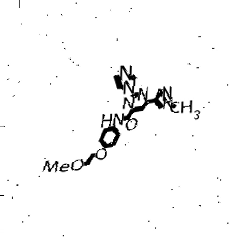 COCCO[C@H]1CC[C@H](NC(=O)c2cc(-c3cnn(C)c3)nc(-n3ccnc3)n2)CC1